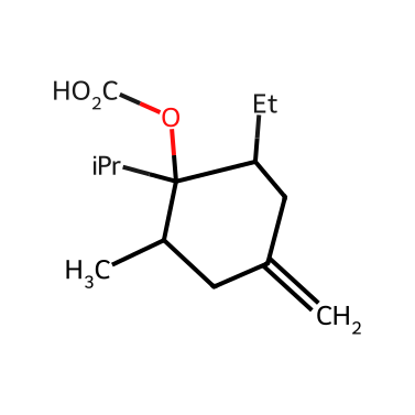 C=C1CC(C)C(OC(=O)O)(C(C)C)C(CC)C1